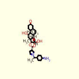 C[C@@H](c1ccc(N)cc1)n1ccc([C@@H]2O[C@@H]3C[C@H]4[C@@H]5CCC6=CC(=O)C=C[C@]6(C)[C@H]5[C@@H](O)C[C@]4(C)[C@]3(C(=O)CO)O2)c1